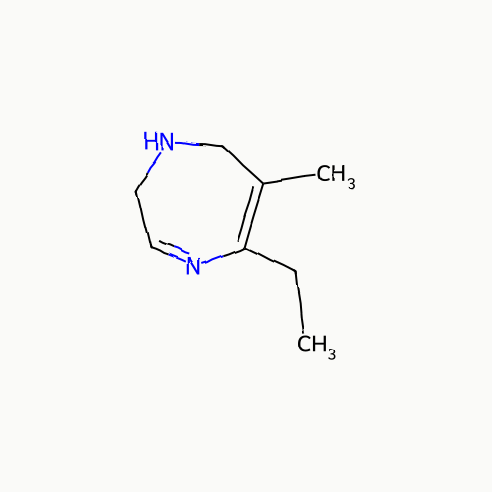 CCC1=C(C)CNCC=N1